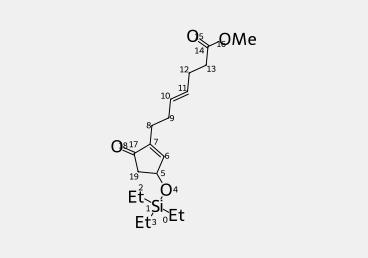 CC[Si](CC)(CC)OC1C=C(CCC=CCCC(=O)OC)C(=O)C1